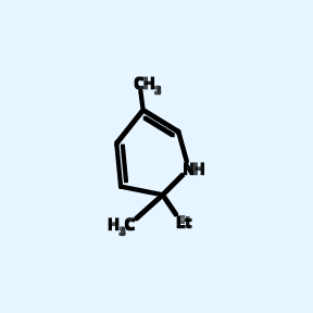 CCC1(C)C=CC(C)=CN1